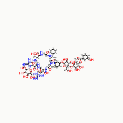 CC(c1ccccc1)C1NC(=O)CNC(=O)C(CO)NC(=O)C(C(O)C2CNC(=N)N2C2OC(CO)C(O)C(O)C2O)NC(=O)C(C(O)C2CNC(=N)N2)NC(=O)C(Cc2ccc(OC3OC(CO)C(OC4OC5COC(c6cccc(O)c6)OC5C(O)C4O)C(O)C3O)cc2)NC1=O